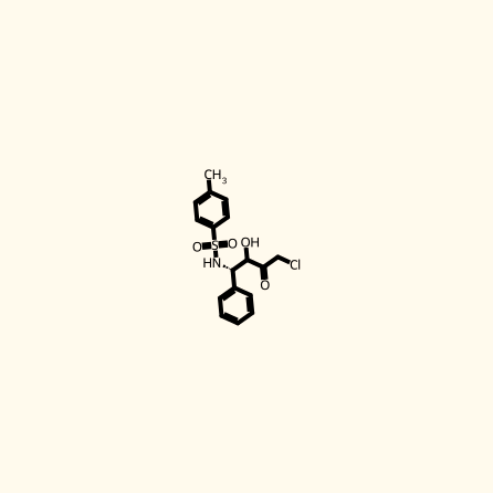 Cc1ccc(S(=O)(=O)N[C@@H](c2ccccc2)C(O)C(=O)CCl)cc1